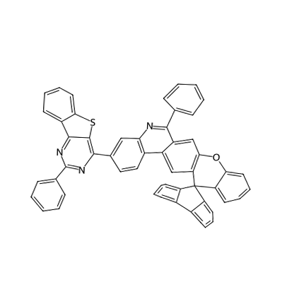 c1ccc(-c2nc(-c3ccc4c(c3)nc(-c3ccccc3)c3cc5c(cc34)C3(c4ccccc4O5)c4ccccc4-c4ccccc43)c3sc4ccccc4c3n2)cc1